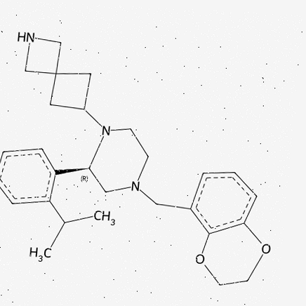 CC(C)c1ccccc1[C@@H]1CN(Cc2cccc3c2OCCO3)CCN1C1CC2(CNC2)C1